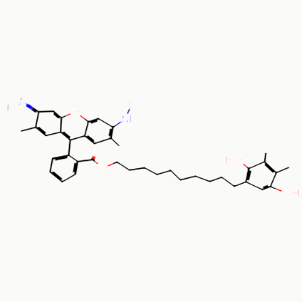 CC/N=c1/cc2oc3cc(NCC)c(C)cc3c(-c3ccccc3C(=O)OCCCCCCCCCCc3cc(O)c(C)c(C)c3O)c-2cc1C